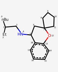 CCCCC(CC)CNC1CC2(CCCC2)Oc2ccccc21